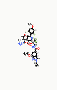 COc1cc(F)c(-c2nc([C@@](O)(CNC(=O)c3cc(OC)c4nn(C5CC5)cc4c3)C(F)(F)F)cc3c2OC[C@]3(C)C(N)=O)c(F)c1